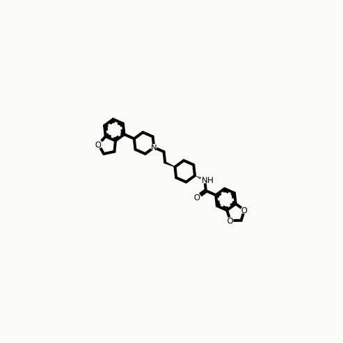 O=C(N[C@H]1CC[C@H](CCN2CCC(c3cccc4c3CCO4)CC2)CC1)c1ccc2c(c1)OCO2